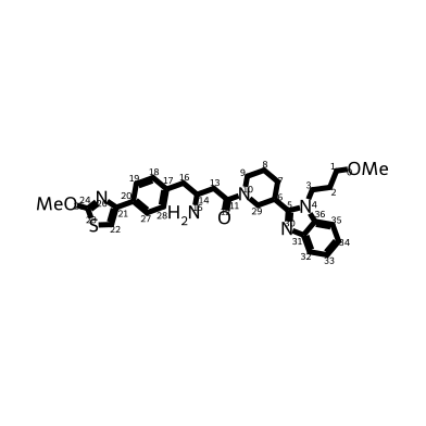 COCCCn1c(C2CCCN(C(=O)CC(N)Cc3ccc(-c4csc(OC)n4)cc3)C2)nc2ccccc21